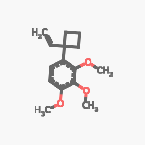 C=CC1(c2ccc(OC)c(OC)c2OC)CCC1